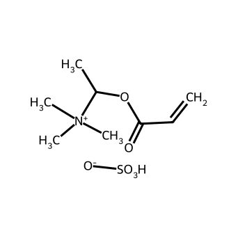 C=CC(=O)OC(C)[N+](C)(C)C.O=S(=O)([O-])O